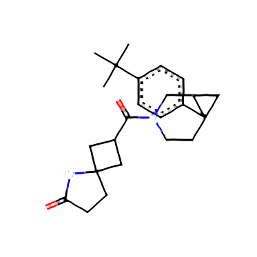 CC(C)(C)c1ccc(C23CCN(C(=O)C4CC5(CCC(=O)N5)C4)CC2C3)cc1